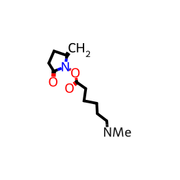 C=C1CCC(=O)N1OC(=O)CCCCCNC